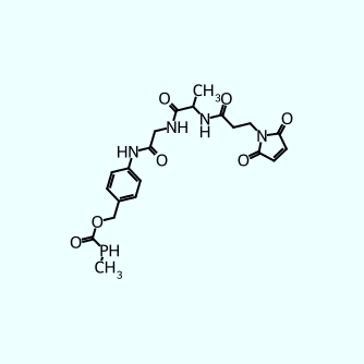 CPC(=O)OCc1ccc(NC(=O)CNC(=O)C(C)NC(=O)CCN2C(=O)C=CC2=O)cc1